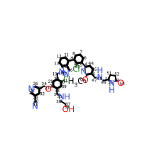 COc1nc(-c2cccc(-c3cccc4c3cnn4Cc3cc(OCc4cncc(C#N)c4)c(CNCCO)cc3Cl)c2Cl)ccc1CNCC1CCC(=O)N1